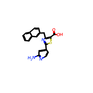 Nc1cc(-c2nc(Cc3ccc4ccccc4c3)c(C(=O)O)s2)ccn1